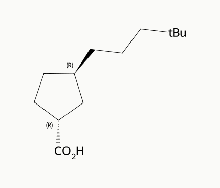 CC(C)(C)CCC[C@@H]1CC[C@@H](C(=O)O)C1